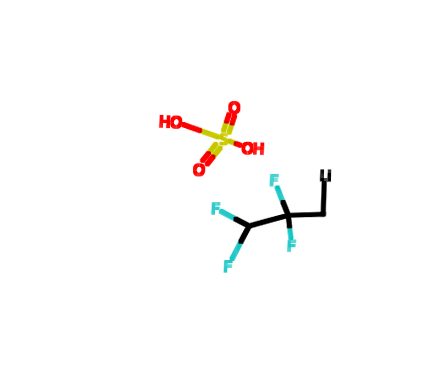 O=S(=O)(O)O.[Li][CH2]C(F)(F)C(F)F